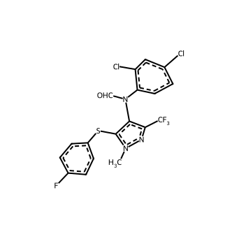 Cn1nc(C(F)(F)F)c(N(C=O)c2ccc(Cl)cc2Cl)c1Sc1ccc(F)cc1